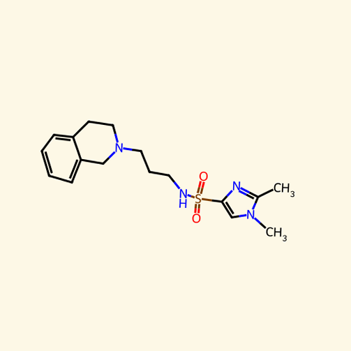 Cc1nc(S(=O)(=O)NCCCN2CCc3ccccc3C2)cn1C